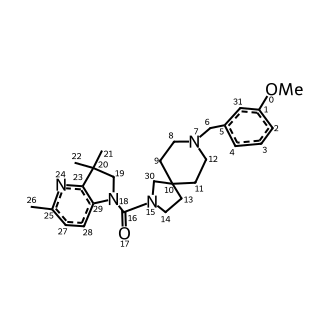 COc1cccc(CN2CCC3(CC2)CCN(C(=O)N2CC(C)(C)c4nc(C)ccc42)C3)c1